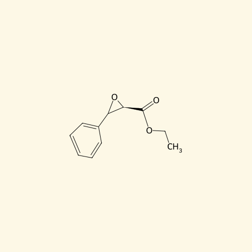 CCOC(=O)[C@@H]1OC1c1ccccc1